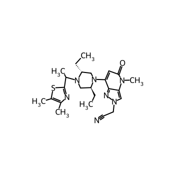 CC[C@H]1CN(C(C)c2nc(C)c(C)s2)[C@H](CC)CN1c1cc(=O)n(C)c2cn(CC#N)nc12